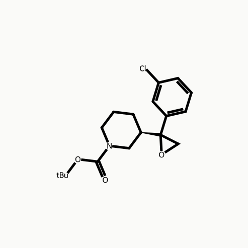 CC(C)(C)OC(=O)N1CCC[C@@H](C2(c3cccc(Cl)c3)CO2)C1